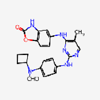 Cc1cnc(Nc2ccc(N(C=O)C3CCC3)cc2)nc1Nc1ccc2oc(=O)[nH]c2c1